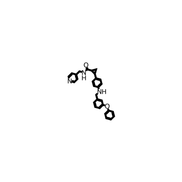 O=C(NCc1ccncc1)C1CC1c1ccc(NCc2cccc(Oc3ccccc3)c2)cc1